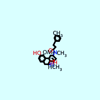 COc1c(O)ccc2c1[C@]13CCN(C)[C@H](C2)[C@]1(O)CCC(N(C)C(=O)CCc1cccc(C)c1)C3